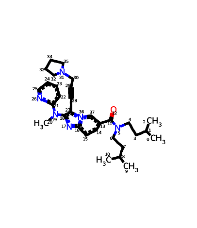 CC(C)CCN(CCC(C)C)C(=O)c1ccc2nc(N(C)c3ccccn3)c(C#CCN3CCCC3)n2c1